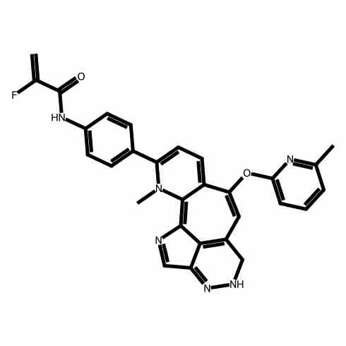 C=C(F)C(=O)Nc1ccc(C2=CC=c3c(Oc4cccc(C)n4)cc4c5c(cnc-5c3N2C)=NNC4)cc1